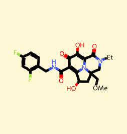 CCN1CC2(COC)CC(O)c3c(C(=O)NCc4ccc(F)cc4F)c(=O)c(O)c(n32)C1=O